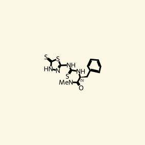 CNC(=O)[C@H](Cc1ccccc1)NC(=S)Nc1n[nH]c(=S)s1